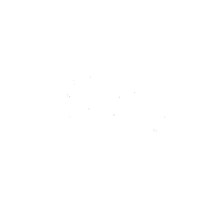 Cl.Clc1nccc2cc(OC3CCNCC3)ccc12